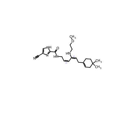 COCCNC(/C=C\CNC(=O)c1nc(C#N)c[nH]1)=C/CC1=CCC(C)(C)CC1